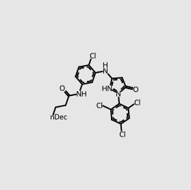 CCCCCCCCCCCCC(=O)Nc1ccc(Cl)c(Nc2cc(=O)n(-c3c(Cl)cc(Cl)cc3Cl)[nH]2)c1